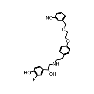 N#Cc1cccc(COCCOc2ccc(CCNC[C@H](O)c3ccc(O)c(F)c3)cc2)c1